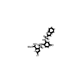 COC(O)c1sc(Cl)cc1S(=O)(=O)Nc1ccc(Cl)cc1NS(=O)(=O)c1cc2ccccc2o1